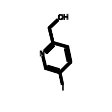 OCc1ccc(I)cn1